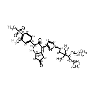 C[SiH2]OC(O[SiH2]C)C(C)(C)CCn1ccc(NC(=O)[C@H](C[C@H]2CCC(=O)C2)c2ccc(S(C)(=O)=O)c(C)c2)n1